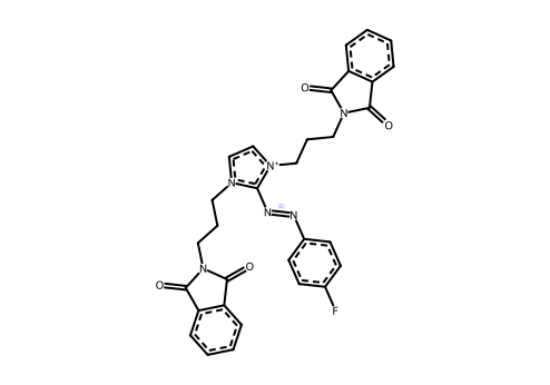 O=C1c2ccccc2C(=O)N1CCCn1cc[n+](CCCN2C(=O)c3ccccc3C2=O)c1/N=N/c1ccc(F)cc1